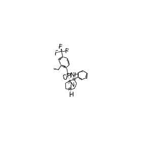 CCc1cc(C(F)(F)F)ccc1C(=O)N[C@]1(c2ccccc2)CC[C@H]2CC[C@@H]1N2C